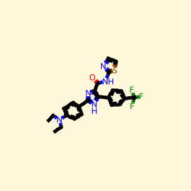 CCN(CC)c1ccc(-c2nc(C(=O)Nc3nccs3)c(-c3ccc(C(F)(F)F)cc3)[nH]2)cc1